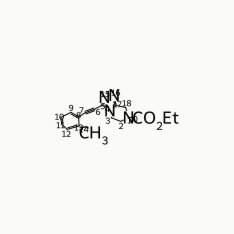 CCOC(=O)N1CCn2c(C#Cc3ccccc3C)nnc2C1